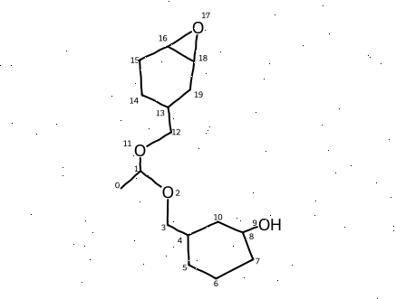 CC(OCC1CCCC(O)C1)OCC1CCC2OC2C1